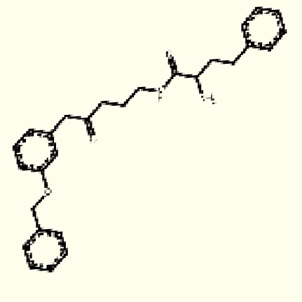 NC(CCc1ccccc1)C(=O)NCCCC(=O)Cc1cccc(OCc2ccccc2)c1